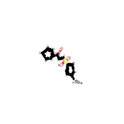 CC(C)(C)c1ccc(S(=O)(=O)/C=C/C(=O)c2ccccc2)cc1